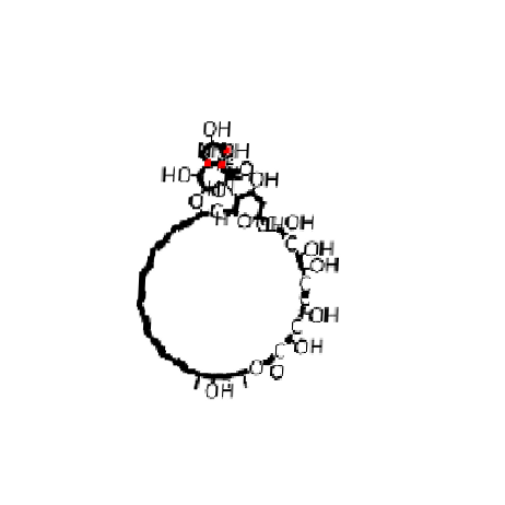 C[C@@H]1[C@H](O)[C@@H](C)/C=C/C=C/C=C/C=C/C=C/C=C/C=C/[C@H](O[C@@H]2O[C@H](C)[C@@H](O)[C@H](N)[C@@H]2O)C[C@@H]2O[C@](O)(C[C@@H](O)C[C@@H](O)[C@H](O)CC[C@@H](O)C[C@@H](O)CC(=O)O[C@H]1C)C[C@H](O)[C@H]2NC(=O)N1CC[C@H](O)C1